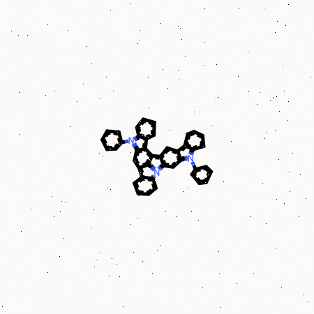 c1ccc(-n2c3ccccc3c3cc4c5c6c7ccccc7n(-c7ccccc7)c6cc6c7ccccc7n(c4cc32)c65)cc1